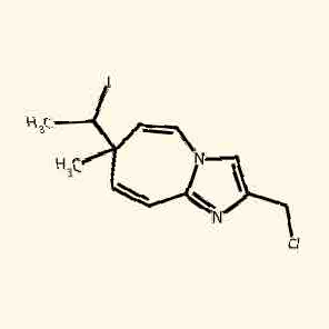 CC(I)C1(C)C=Cc2nc(CCl)cn2C=C1